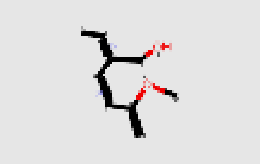 C=C(/C=C\C(=C/C)CO)OC